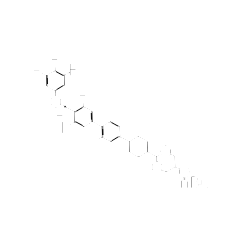 CCCCOC1COC(C2CCC(c3ccc(-c4cc(F)c(C(F)(F)Oc5cc(F)c(F)c(F)c5)c(F)c4)c(F)c3)CC2)OC1